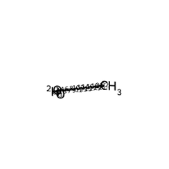 [2H]OC(=O)C=CC=CC=CCCCCCCCCCCCCC